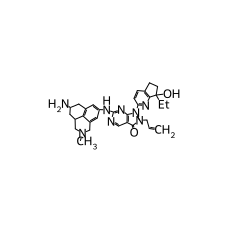 C=CCn1c(=O)c2cnc(Nc3cc4c5c(c3)CN(C)CC5CC(N)C4)nc2n1-c1ccc2c(n1)C(O)(CC)CC2